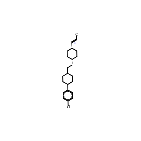 Cl/C=C/[C@H]1CC[C@H](CCC2CCC(c3ccc(Cl)cc3)CC2)CC1